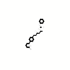 CC(CC(=N)CCc1ccc(-c2cccc(N)n2)cc1)NC(=O)Nc1ccccc1